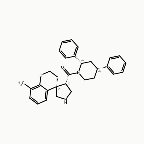 Cc1cccc2c1OCC[C@]21CNC[C@H]1C(=O)N1CC[C@@H](c2ccccc2)C[C@H]1c1ccccc1